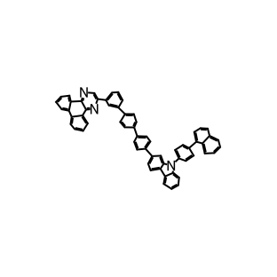 c1cc(-c2ccc(-c3ccc(-c4ccc5c6ccccc6n(-c6ccc(-c7cccc8ccccc78)cc6)c5c4)cc3)cc2)cc(-c2cnc3c4ccccc4c4ccccc4c3n2)c1